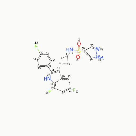 O=S(=O)(N[C@H]1C[C@@H](c2c(-c3ccc(F)cc3)[nH]c3c(F)cc(F)cc32)C1)c1cn[nH]c1